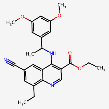 CCOC(=O)c1cnc2c(CC)cc(C#N)cc2c1NC(C)c1cc(OC)cc(OC)c1